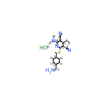 CCc1c(C#N)c(SCc2ccc(CN)cc2)nc(N(C)C)c1C#N.Cl